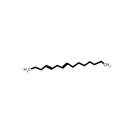 [CH2]CCC=CCC=CCCCCCCC